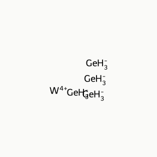 [GeH3-].[GeH3-].[GeH3-].[GeH3-].[W+4]